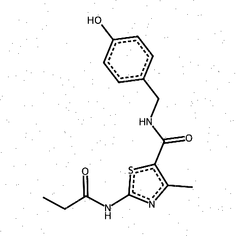 CCC(=O)Nc1nc(C)c(C(=O)NCc2ccc(O)cc2)s1